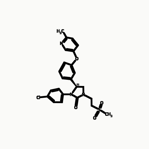 Cc1ccc(Oc2cccc([C@H]3CN(CCS(C)(=O)=O)C(=O)N3c3ccc(Cl)cc3)c2)cn1